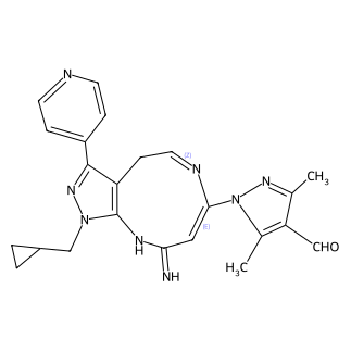 Cc1nn(C2=C/C(=N)Nc3c(c(-c4ccncc4)nn3CC3CC3)C/C=N\2)c(C)c1C=O